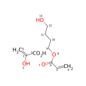 C=C(O)C(=O)O.C=CC(=O)OCCCCO